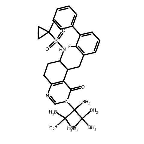 BC(B)(B)C(B)(n1cnc2c(c1=O)C(Cc1cccc(-c3ccccc3)c1F)C(NS(=O)(=O)C1(F)CC1)CC2)C(B)(B)B